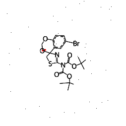 CC(C)(C)OC(=O)N(C(=O)OC(C)(C)C)C1=NC2(CS1)c1cc(Br)ccc1OCC21COC1